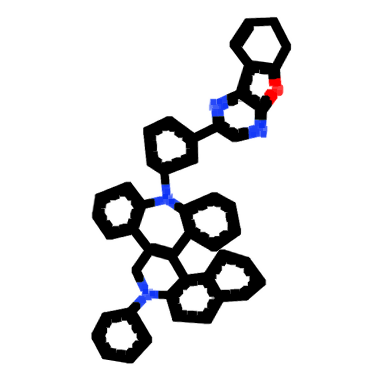 C1=Cc2c(oc3ncc(-c4cccc(N5c6ccccc6C6=C(c7ccccc75)c5c(ccc7ccccc57)N(c5ccccc5)C6)c4)nc23)CC1